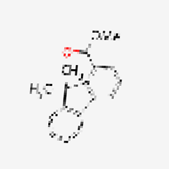 COC(=O)c1cccc2c1C(C)(C)c1ccccc1-2